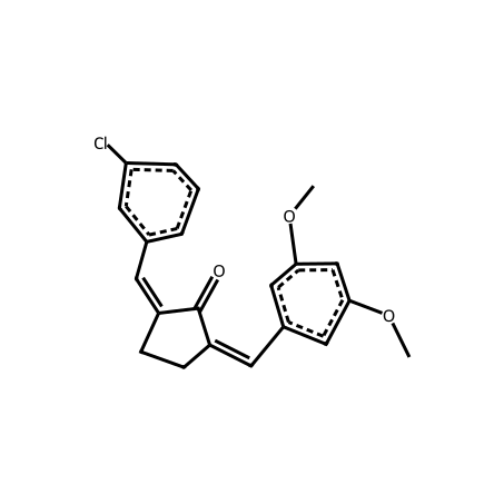 COc1cc(C=C2CCC(=Cc3cccc(Cl)c3)C2=O)cc(OC)c1